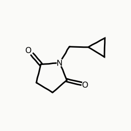 O=C1CCC(=O)N1CC1CC1